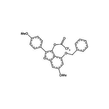 COc1ccc(-c2oc3cc(OC)cc(OCc4ccccc4)c3c2OC(=O)C(F)(F)F)cc1